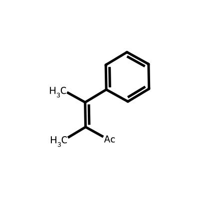 CC(=O)/C(C)=C(/C)c1ccccc1